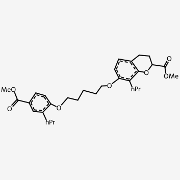 CCCc1cc(C(=O)OC)ccc1OCCCCCOc1ccc2c(c1CCC)OC(C(=O)OC)CC2